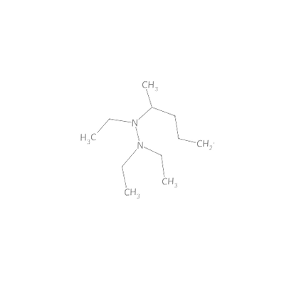 [CH2]CCC(C)N(CC)N(CC)CC